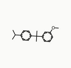 COc1cccc(C(C)(C)c2ccc(C(C)C)cc2)c1